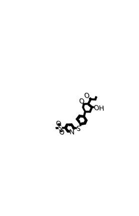 CCC(=O)C1=C(O)CC(c2ccc(Sc3ccc(S(C)(=O)=O)cn3)cc2)CC1=O